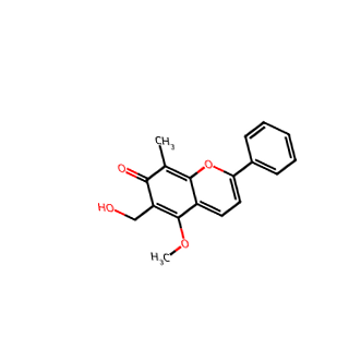 COc1c2ccc(-c3ccccc3)oc-2c(C)c(=O)c1CO